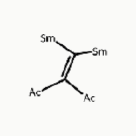 CC(=O)C(C(C)=O)=[C]([Sm])[Sm]